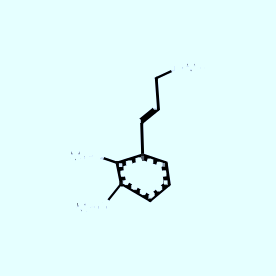 [CH2]OCC=Cc1cccc(OC)c1OC